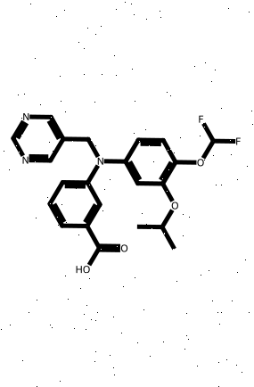 CC(C)Oc1cc(N(Cc2cncnc2)c2cccc(C(=O)O)c2)ccc1OC(F)F